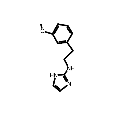 COc1cccc(CCNc2ncc[nH]2)c1